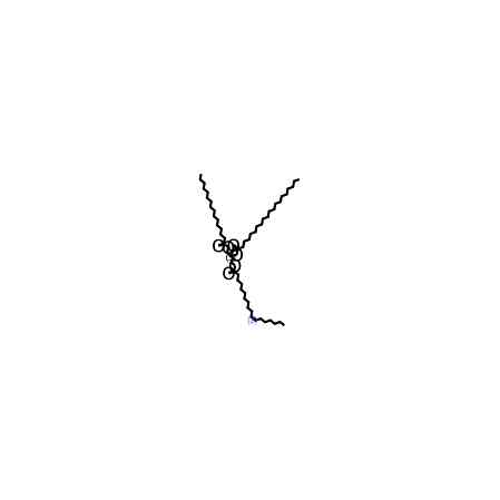 CCCCCC/C=C\CCCCCCCCCC(=O)OC[C@H](COC(=O)CCCCCCCCCCCCCCC)OC(=O)CCCCCCCCCCCCCCCCCCC